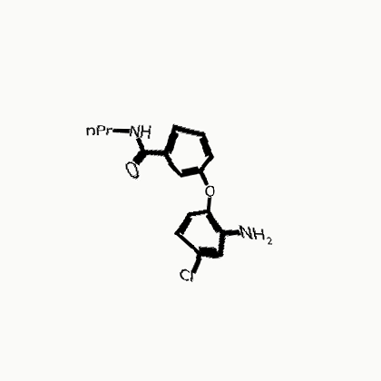 CCCNC(=O)c1cccc(Oc2ccc(Cl)cc2N)c1